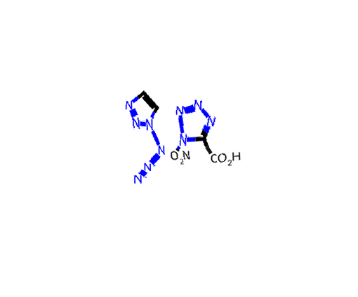 O=C(O)c1nnnn1[N+](=O)[O-].[N-]=[N+]=Nn1ccnn1